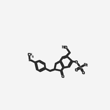 CCS(=O)(=O)Oc1cc2c(cc1CO)CC(Cc1ccc(SC(F)(F)F)cc1)C2=O